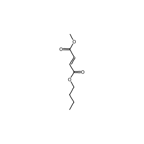 CCCCOC(=O)/C=C/C(=O)OC